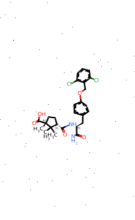 CC1(C)[C@@H](C(=O)N[C@@H](Cc2ccc(OCc3c(Cl)cccc3Cl)cc2)C(N)=O)CC[C@@]1(C)C(=O)O